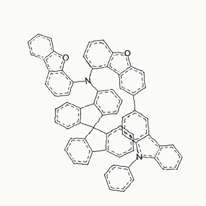 c1ccc(-n2c3ccccc3c3cc(-c4ccc5oc6cccc(N(c7cccc8c7-c7ccccc7C87c8ccccc8-c8ccccc87)c7cccc8c7oc7ccccc78)c6c5c4)ccc32)cc1